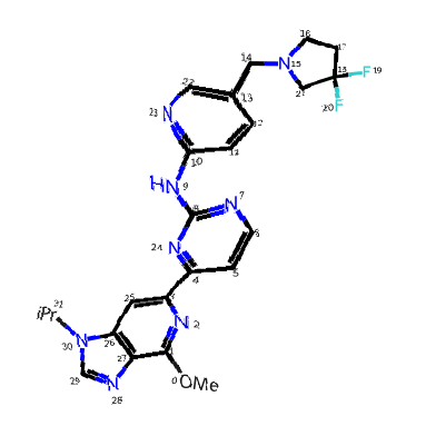 COc1nc(-c2ccnc(Nc3ccc(CN4CCC(F)(F)C4)cn3)n2)cc2c1ncn2C(C)C